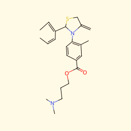 C=C1CSC(C(/C=C\C)=C/C)N1c1ccc(C(=O)OCCCN(C)C)cc1C